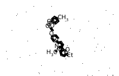 CCN1CCc2c(c3ccc(N4CCC(OCCOS(=O)(=O)c5ccc(C)cc5)CC4)nc3n2C)C1=O